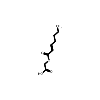 CCCCC=CC(=O)OCC(=O)O